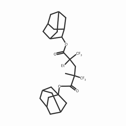 CCC(CC(C)(C(=O)OC12CC3CC(CC(C3)C1)C2)C(F)(F)F)(C(=O)OC1C2CC3CC(C2)CC1C3)C(F)(F)F